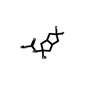 CCCCC(=O)NC1(C#N)CC2CC(F)(F)CC2C1